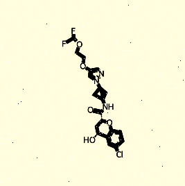 O=C(NC12CC(n3cc(OCCOC(F)F)cn3)(C1)C2)[C@H]1C[C@@H](O)c2cc(Cl)ccc2O1